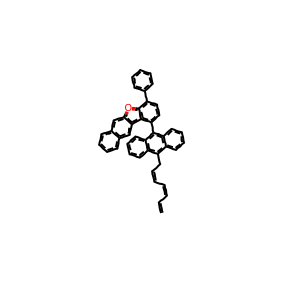 C=C/C=C\C=C/Cc1c2ccccc2c(-c2ccc(-c3ccccc3)c3oc4cc5ccccc5cc4c23)c2ccccc12